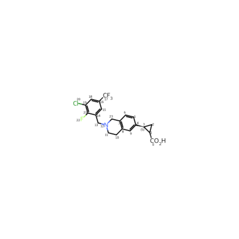 O=C(O)C1C[C@@H]1c1ccc2c(c1)CCN(Cc1cc(C(F)(F)F)cc(Cl)c1F)C2